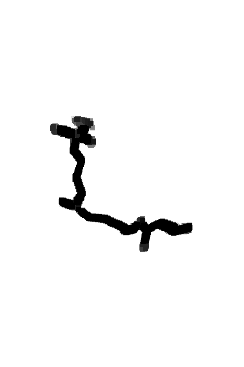 CC=CC(=O)OCCCN(C)CCCCS(=O)(=O)O